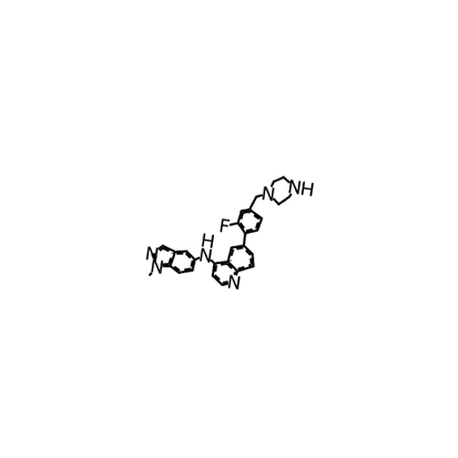 Cn1ncc2cc(Nc3ccnc4ccc(-c5ccc(CN6CCNCC6)cc5F)cc34)ccc21